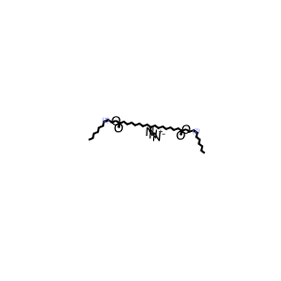 CCCCCC/C=C\COC(=O)CCCCCCCC(CCCCCCCC(=O)OC/C=C\CCCCCC)N=[N+]=[N-]